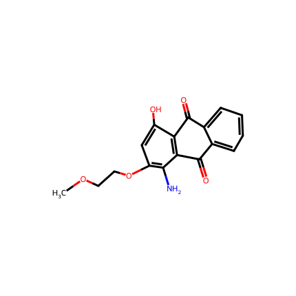 COCCOc1cc(O)c2c(c1N)C(=O)c1ccccc1C2=O